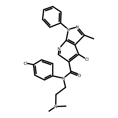 Cc1nn(-c2ccccc2)c2ncc(C(=O)N(CCN(C)C)c3ccc(Cl)cc3)c(Cl)c12